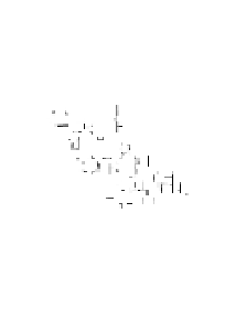 CC(OC(=O)NC(Cc1cccc(SN2CC(Oc3cccc(C(F)(F)F)c3)(c3ccccc3)C2)c1)C(=O)O)OC(=O)C(C)C